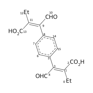 CCC(C(=O)O)=C(C=O)c1ccc(C(C=O)=C(CC)C(=O)O)cc1